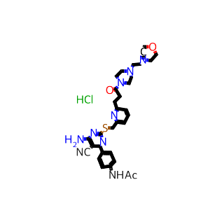 CC(=O)Nc1ccc(-c2nc(SCc3cccc(CCC(=O)N4CCN(CCN5CCOCC5)CC4)n3)nc(N)c2C#N)cc1.Cl